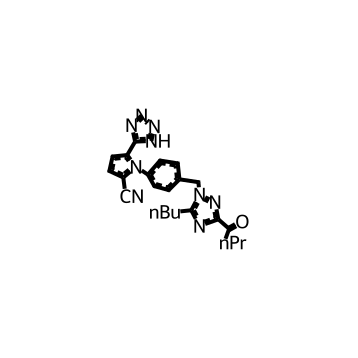 CCCCc1nc(C(=O)CCC)nn1Cc1ccc(-n2c(C#N)ccc2-c2nnn[nH]2)cc1